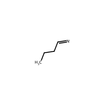 CCCC=[N]